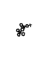 CC(C)(C)c1ccc(-n2c3ccccc3c3cc([Si](c4ccccc4)(c4ccccc4)c4ccccc4)ccc32)cc1